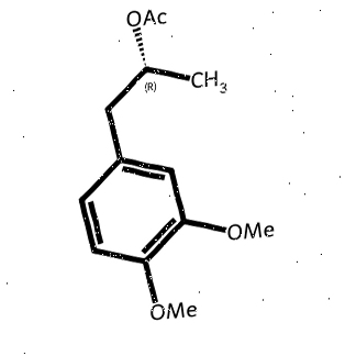 COc1ccc(C[C@@H](C)OC(C)=O)cc1OC